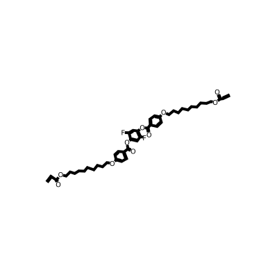 C=CC(=O)OCCCCCCCCCCOc1ccc(C(=O)Oc2cc(F)c(OC(=O)c3ccc(OCCCCCCCCCCOC(=O)C=C)cc3)cc2F)cc1